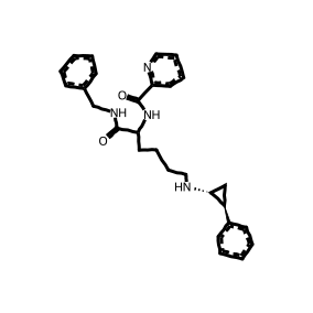 O=C(NC(CCCCN[C@@H]1C[C@H]1c1ccccc1)C(=O)NCc1ccccc1)c1ccccn1